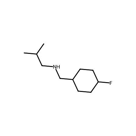 CC(C)CNCC1CCC(F)CC1